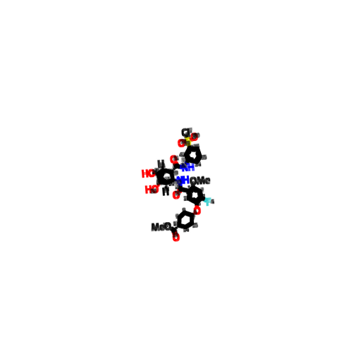 COc1cc(F)c(O[C@H]2CC[C@@H](C(=O)OC)CC2)cc1C(=O)N[C@@H]1[C@@H]2C[C@@H]([C@@H](O)[C@H]2O)[C@@H]1C(=O)Nc1cccc(S(=O)(=O)C(F)(F)F)c1